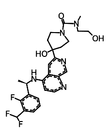 C[C@@H](Nc1ccnc2cnc(C3(O)CCN(C(=O)N(C)CCO)CC3)cc12)c1cccc(C(F)F)c1F